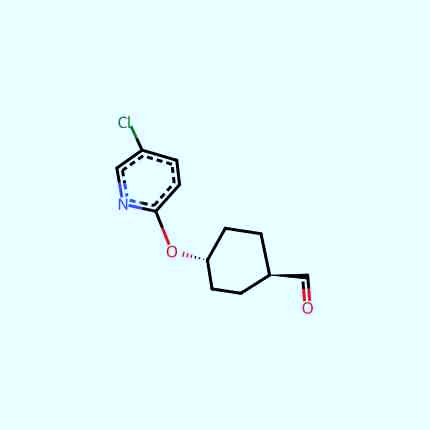 O=C[C@H]1CC[C@H](Oc2ccc(Cl)cn2)CC1